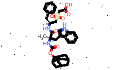 C[C@](Cc1c[nH]c2ccccc12)(NC(=O)OC1C2CC3CC(C2)CC1C3)C(=O)N[C@@H](Cc1ccccc1)CS(=O)(=O)CC(=O)O